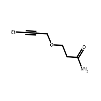 CCC#CCOCCC(N)=O